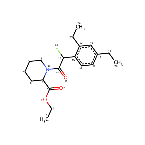 CCOC(=O)C1CCCCN1C(=O)C(F)c1ccc(CC)cc1CC